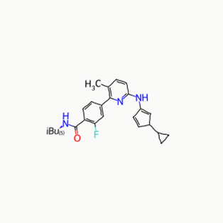 CC[C@H](C)NC(=O)c1ccc(-c2nc(NC3=CC(C4CC4)C=C3)ccc2C)cc1F